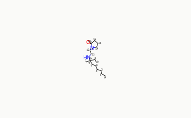 CCCCCCC(C)(CC)NCCN1CCCC1=O